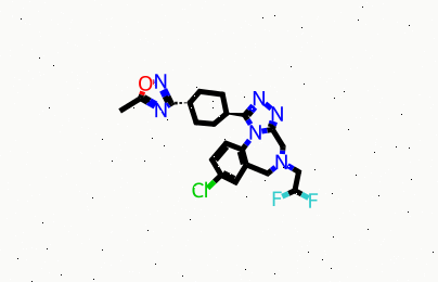 Cc1nc([C@H]2CC[C@H](c3nnc4n3-c3ccc(Cl)cc3CN(CC(F)F)C4)CC2)no1